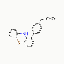 O=[C]Cc1ccc(-c2cccc3c2Nc2ccccc2S3)cc1